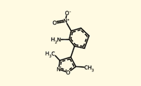 Cc1noc(C)c1-c1cccc([N+](=O)[O-])c1N